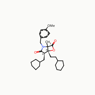 COc1ccc(CN2C(=O)[C@H](CC3CCCCC3)[C@@]3(CCC4CCCCC4)OC(=O)C23C)cc1